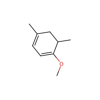 COC1=CC=C(C)CC1C